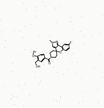 CC(C)Oc1ccc(C(=O)N2CCC3(CC2)Oc2ccc(F)cc2-c2nn(C)cc23)cc1CO